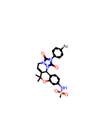 CC(=O)c1ccc(-n2c(=O)n3n(c2=O)C2C(=CC3)C(C)(C)Oc3cc(NS(C)(=O)=O)ccc32)cc1